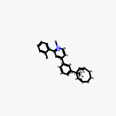 Cc1ccccc1-c1cc(-c2cccc(C3CC4CCCC(CCC4)C3)c2)cc[n+]1C